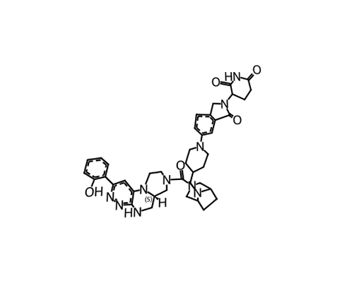 O=C1CCC(N2Cc3ccc(N4CCC(CN5C6CCC5CN(C(=O)N5CCN7c8cc(-c9ccccc9O)nnc8NC[C@H]7C5)C6)CC4)cc3C2=O)C(=O)N1